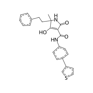 CC1(CCc2ccccc2)NC(=O)C(C(=O)Nc2ccc(-c3ccsc3)cc2)=C1O